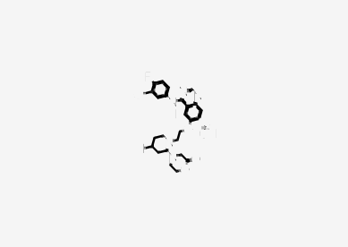 COc1cc2ncnc(Nc3ccc(F)c(Cl)c3)c2cc1OCCN1CCC(I)CC1N1CCOC(=O)C1